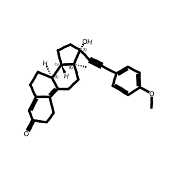 COc1ccc(C#C[C@]2(O)CC[C@H]3[C@@H]4CCC5=CC(=O)CCC5=C4CC[C@@]32C)cc1